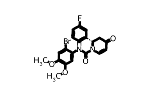 COc1cc(Br)c(NC(=O)N2C=CC(=O)C[C@H]2c2cccc(F)c2)cc1OC